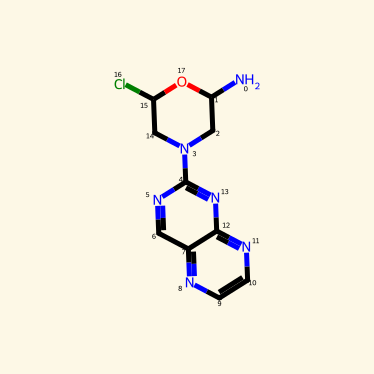 NC1CN(c2ncc3nccnc3n2)CC(Cl)O1